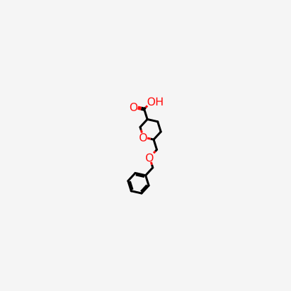 O=C(O)C1CCC(COCc2ccccc2)OC1